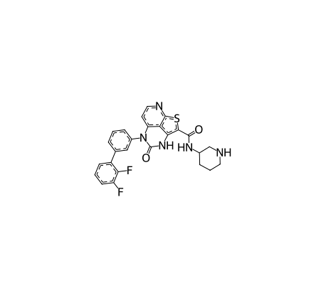 O=C(NC1CCCNC1)c1sc2nccc3c2c1NC(=O)N3c1cccc(-c2cccc(F)c2F)c1